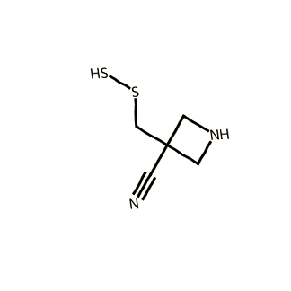 N#CC1(CSS)CNC1